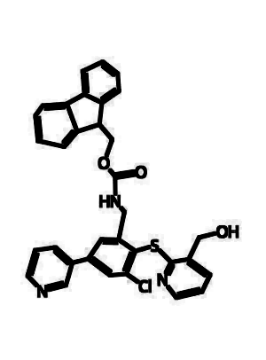 O=C(NCc1cc(-c2cccnc2)cc(Cl)c1Sc1ncccc1CO)OCC1c2ccccc2-c2ccccc21